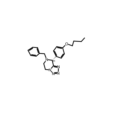 CCCCOc1ccc([C@@H]2c3nnnn3CCN2Cc2ccccc2)cc1